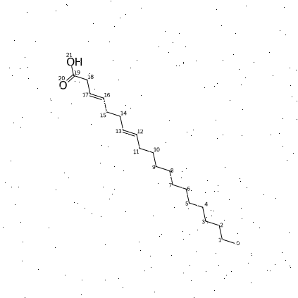 CCCCCCCCCCCCC=CCCC=CCC(=O)O